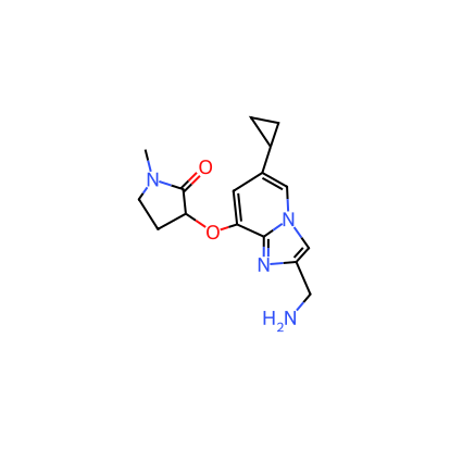 CN1CCC(Oc2cc(C3CC3)cn3cc(CN)nc23)C1=O